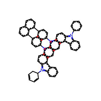 C1=CCC(n2c3ccccc3c3cc(N(c4ccccc4)c4ccc(-c5cccc6cccc(-c7ccc(N(c8ccccc8)c8ccc9c(c8)c8ccccc8n9-c8ccccc8)cc7)c56)cc4)ccc32)C=C1